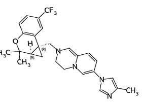 Cc1cn(C2=CN3CCN(C[C@]45C[C@H]4C(C)(C)Oc4ccc(C(F)(F)F)cc45)C=C3C=C2)cn1